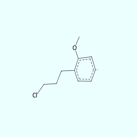 COc1c[c]ccc1CCCCl